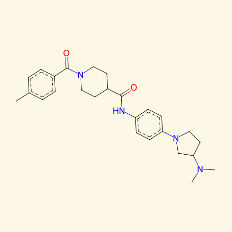 Cc1ccc(C(=O)N2CCC(C(=O)Nc3ccc(N4CCC(N(C)C)C4)cc3)CC2)cc1